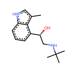 Cc1c[nH]c2cccc([C@@H](O)CNC(C)(C)C)c12